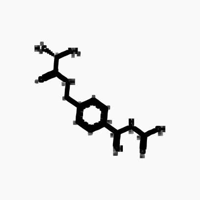 C[C@H](N)C(=O)NCc1ccc(C(=N)NC(=O)O)cc1